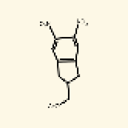 CC(=O)OCC1Cc2cc([N+](=O)[O-])c([N+](=O)[O-])cc2C1